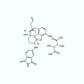 C=CCN1CC[C@]23c4c5ccc(O)c4O[C@H]2[C@H](Nc2ccc4c(c2)C(=O)NC4=O)CCC3(O)[C@H]1C5.O=C(O)C(O)C(O)C(=O)O